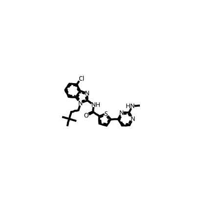 CNc1nccc(-c2ccc(C(=O)Nc3nc4c(Cl)cccc4n3CCC(C)(C)C)s2)n1